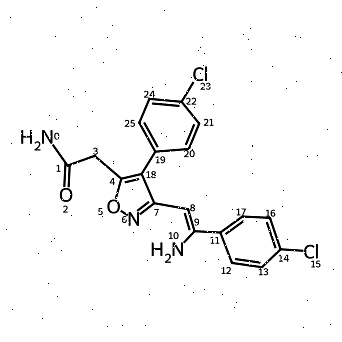 NC(=O)Cc1onc(C=C(N)c2ccc(Cl)cc2)c1-c1ccc(Cl)cc1